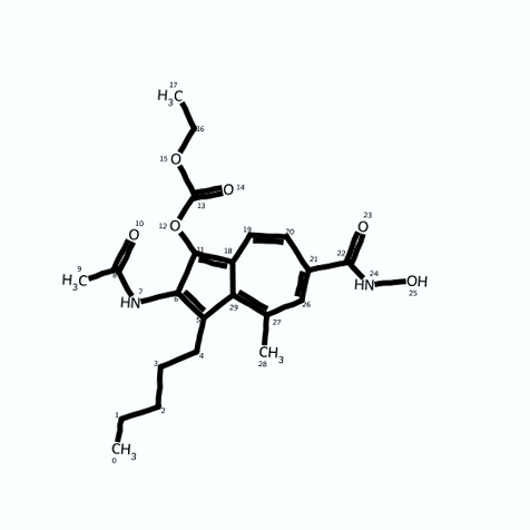 CCCCCc1c(NC(C)=O)c(OC(=O)OCC)c2ccc(C(=O)NO)cc(C)c1-2